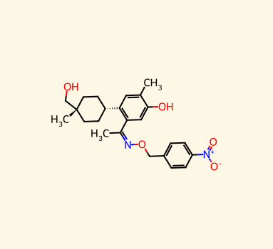 CC(=NOCc1ccc([N+](=O)[O-])cc1)c1cc(O)c(C)cc1[C@H]1CC[C@@](C)(CO)CC1